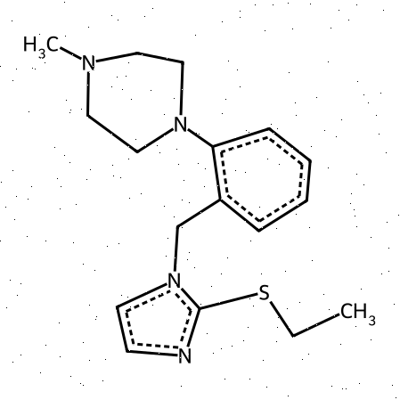 CCSc1nccn1Cc1ccccc1N1CCN(C)CC1